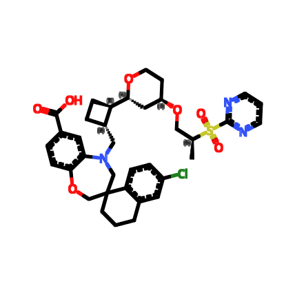 C[C@@H](CO[C@@H]1CCO[C@@H]([C@@H]2CC[C@H]2CN2CC3(CCCc4cc(Cl)ccc43)COc3ccc(C(=O)O)cc32)C1)S(=O)(=O)c1ncccn1